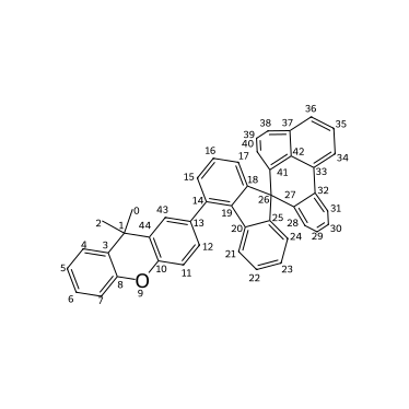 CC1(C)c2ccccc2Oc2ccc(-c3cccc4c3-c3ccccc3C43c4ccccc4-c4cccc5cccc3c45)cc21